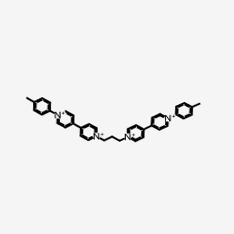 Cc1ccc(-[n+]2ccc(-c3cc[n+](CCC[n+]4ccc(-c5cc[n+](-c6ccc(C)cc6)cc5)cc4)cc3)cc2)cc1